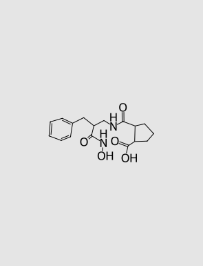 O=C(NO)C(CNC(=O)C1CCCC1C(=O)O)Cc1ccccc1